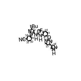 CC(C)(C)c1cc(NC(=O)Nc2cc(Oc3nccc(-c4cn[nH]c4)n3)ccc2F)n(-c2cccc(C#N)c2)n1